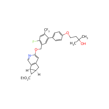 CCOC(=O)[C@H]1[C@@H]2Cc3cc(OCc4cc(-c5ccc(OCCC(C)(C)O)cc5)c(C(F)(F)F)cc4F)ncc3[C@@H]21